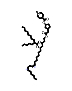 CCCCC/C=C\C/C=C\CCCCCCCCC(CCOC(=O)CC1CCC(OC(=O)C2CCN(C)CC2)C1)OC(=O)C(CCCCC)CCCCCCCC